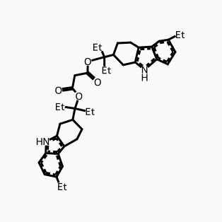 CCc1ccc2[nH]c3c(c2c1)CCC(C(CC)(CC)OC(=O)CC(=O)OC(CC)(CC)C1CCc2c([nH]c4ccc(CC)cc24)C1)C3